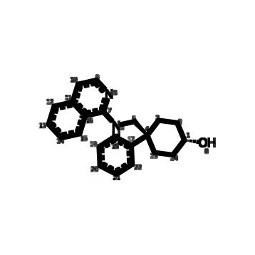 O[C@H]1CC[C@@](CNc2nccc3ccccc23)(c2ccccc2)CC1